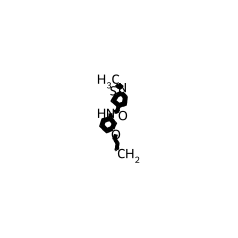 C=CCCOc1cccc(NC(=O)c2ccc3nc(C)sc3c2)c1